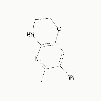 Cc1nc2c(cc1C(C)C)OCCN2